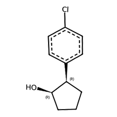 O[C@@H]1CCC[C@@H]1c1ccc(Cl)cc1